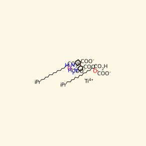 CC(C)CCCCCCCCCCCCCC(OCC(=O)[O-])C(=O)O.CC(C)CCCCCCCCCCCCCC(OCC(=O)[O-])C(=O)O.Nc1ccc(C(=O)[O-])cc1.Nc1ccc(C(=O)[O-])cc1.[Ti+4]